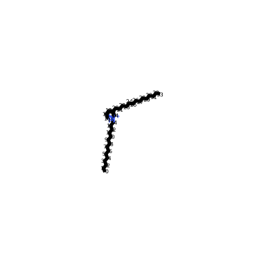 CCCCCCCCCCCCCCC[n+]1cccc(CCCCCCCCCCCCCC)c1